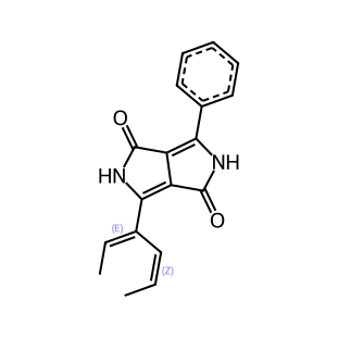 C/C=C\C(=C/C)C1=C2C(=O)NC(c3ccccc3)=C2C(=O)N1